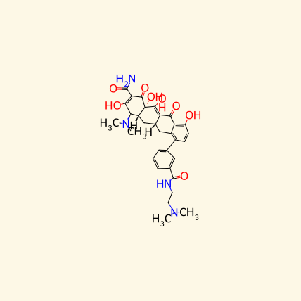 CN(C)CCNC(=O)c1cccc(-c2ccc(O)c3c2C[C@@H]2C[C@@H]4[C@@H](N(C)C)C(O)=C(C(N)=O)C(=O)[C@@]4(O)C(O)=C2C3=O)c1